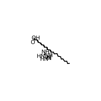 CCCCCCCCCCC/C=C/C=C/C=C/C=C/C=C/C(=O)O.CN(C)C(=N)NC(=N)N